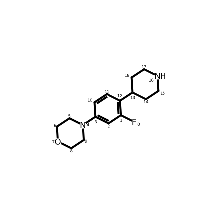 Fc1cc(N2CCOCC2)ccc1C1CCNCC1